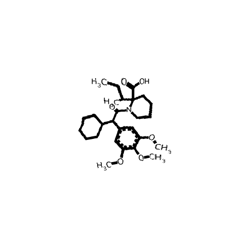 CCC(C)C1(C(=O)O)CCCCN1C(=O)C(c1cc(OC)c(OC)c(OC)c1)C1CCCCC1